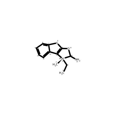 CC[N@+]1(C)c2c(sc3ccccc23)OC1N